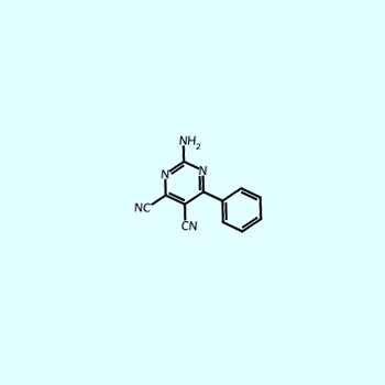 N#Cc1nc(N)nc(-c2ccccc2)c1C#N